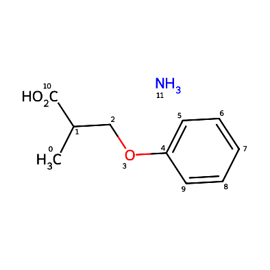 CC(COc1ccccc1)C(=O)O.N